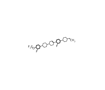 C=CC1CCC(c2ccc(C3=CCC(C4CCC(c5ccc(OC(F)(F)F)c(F)c5)CC4)CC3)c(F)c2)CC1